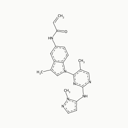 C=CC(=O)Nc1ccc2c(c1)c(C)cn2-c1nc(Nc2ccnn2C)ncc1C